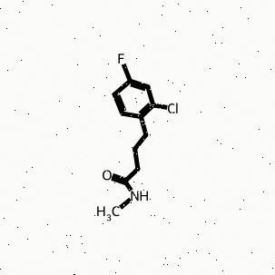 CNC(=O)CC[CH]c1ccc(F)cc1Cl